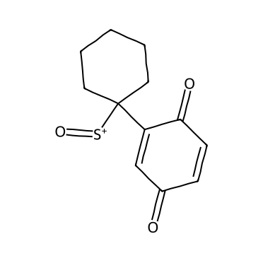 O=[S+]C1(C2=CC(=O)C=CC2=O)CCCCC1